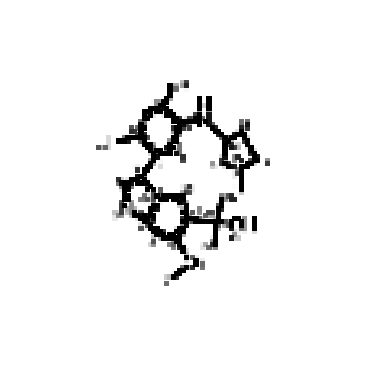 COc1cc2ncc(-c3nc(NC4CCNC4)c(F)cc3F)n2cc1C(C)(C)O